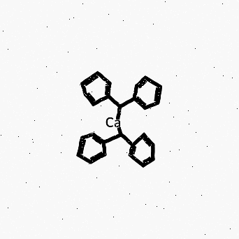 c1ccc([CH]([Ca][CH](c2ccccc2)c2ccccc2)c2ccccc2)cc1